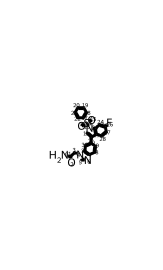 NC(=O)Cn1cnc2ccc(-c3cn(S(=O)(=O)c4ccccc4)c4cc(F)ccc34)cc21